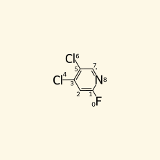 Fc1cc(Cl)c(Cl)[c]n1